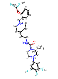 C[C@@H]1CN(c2cc(F)c(F)c(F)c2)CCN1C(=O)NCCC1CCN(Cc2ccccc2OC(F)F)CC1